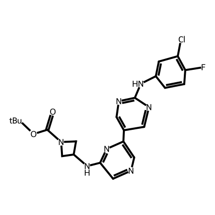 CC(C)(C)OC(=O)N1CC(Nc2cncc(-c3cnc(Nc4ccc(F)c(Cl)c4)nc3)n2)C1